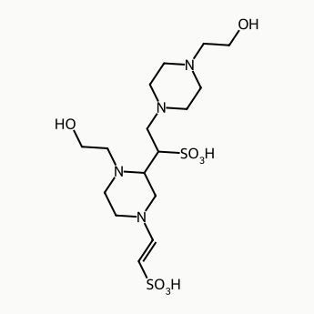 O=S(=O)(O)C=CN1CCN(CCO)C(C(CN2CCN(CCO)CC2)S(=O)(=O)O)C1